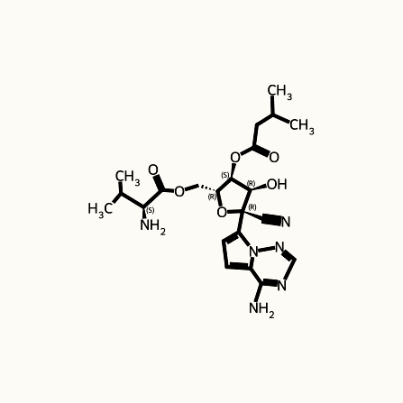 CC(C)CC(=O)O[C@H]1[C@@H](O)[C@](C#N)(c2ccc3c(N)ncnn23)O[C@@H]1COC(=O)[C@@H](N)C(C)C